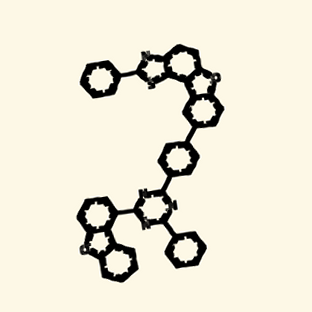 c1ccc(-c2nc(-c3ccc(-c4ccc5oc6ccc7nc(-c8ccccc8)sc7c6c5c4)cc3)nc(-c3cccc4oc5ccccc5c34)n2)cc1